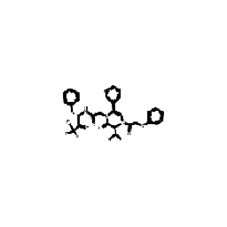 CC(C)[C@H]1C(=O)N(CC(=O)N[C@@H](Cc2ccccc2)C(=O)C(F)(F)F)C(c2ccccc2)=CN1C(=O)COc1ccccc1